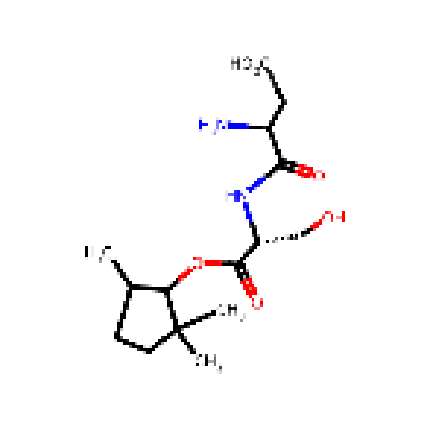 CC1CCC(C)(C)C1OC(=O)[C@@H](CO)NC(=O)[C@@H](N)CC(=O)O